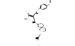 Cn1nc(C2CCC3(CCN(C(=O)OC(C)(C)C)C3)C2)c(C(=O)Nc2ccc(F)cc2)c1N